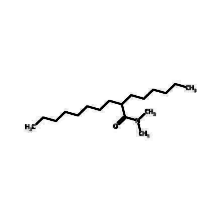 CCCCCCCCC(CCCCCC)C(=O)N(C)C